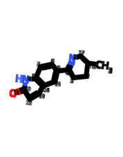 CC1CCC(c2ccc3[nH]c(=O)ccc3c2)=NC1